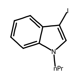 CCCn1cc(I)c2ccccc21